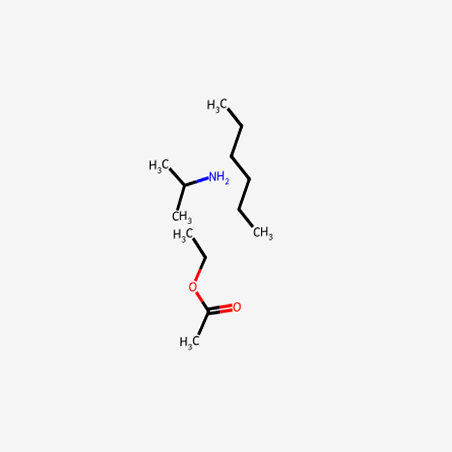 CC(C)N.CCCCCC.CCOC(C)=O